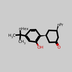 CCCCCCC(C)(C)c1ccc([C@@H]2CC(=O)C[C@H](CCC)C2)c(O)c1